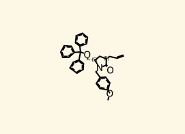 C=CC[C@@H]1C[C@@H](COC(c2ccccc2)(c2ccccc2)c2ccccc2)N(Cc2ccc(OC)cc2)C1=O